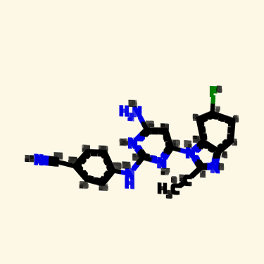 CCc1nc2ccc(F)cc2n1-c1cc(N)nc(Nc2ccc(C#N)cc2)n1